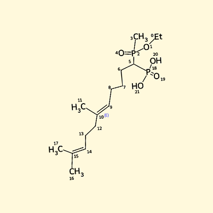 CCOP(C)(=O)C(CCC/C=C(\C)CCC=C(C)C)P(=O)(O)O